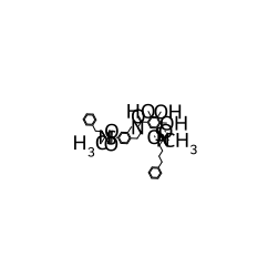 CN(CCc1ccccc1)S(=O)(=O)c1ccc2c(c1)CN(C(=O)c1cc(S(=O)(=O)N(C)CCCCc3ccccc3)c(O)c(O)c1O)CC2